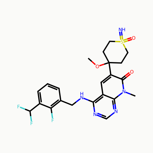 COC1(c2cc3c(NCc4cccc(C(F)F)c4F)ncnc3n(C)c2=O)CCS(=N)(=O)CC1